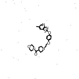 Cc1cnc2nc(Oc3ccc(OCCN4CCC(C(=O)N5CCOCC5)CC4)cc3)sc2c1